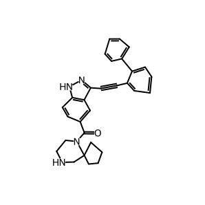 O=C(c1ccc2[nH]nc(C#Cc3ccccc3-c3ccccc3)c2c1)N1CCNCC12CCCC2